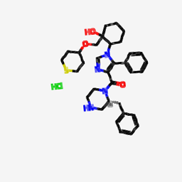 Cl.O=C(c1ncn(C2CCCCC2(O)COC2CCSCC2)c1-c1ccccc1)N1CCNC[C@H]1Cc1ccccc1